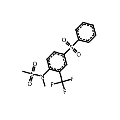 CN(c1ccc(S(=O)(=O)c2ccccc2)cc1C(F)(F)F)S(C)(=O)=O